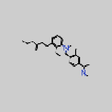 C=C(CCC)CCc1cccc(N(C)Cc2ccc(/C(C)=N/C)cc2C)c1CC